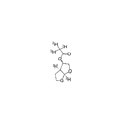 [2H]C([2H])([2H])C(=O)O[C@H]1CO[C@@]2([2H])OCC[C@@]12[2H]